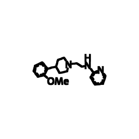 COc1ccccc1C1CCN(CCNc2ccccn2)CC1